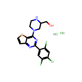 Cl.Cl.OCC1CN(c2nc(-c3cc(F)c(Cl)cc3F)nc3ccsc23)CCN1